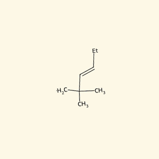 [CH2]C(C)(C)/C=C/CC